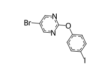 Brc1cnc(Oc2ccc(I)cc2)nc1